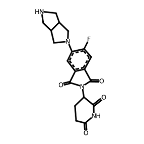 O=C1CCC(N2C(=O)c3cc(F)c(N4CC5CNCC5C4)cc3C2=O)C(=O)N1